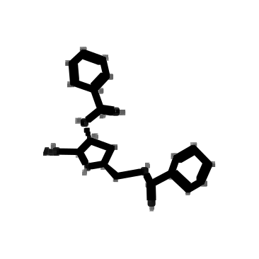 CC(=O)OC1S[C@H](COC(=O)c2ccccc2)C[C@H]1OC(=O)c1ccccc1